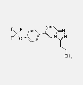 CCCc1nnc2cnc(-c3ccc(OC(F)(F)F)cc3)cn12